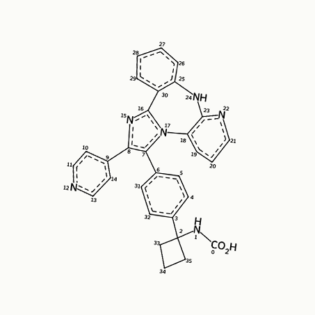 O=C(O)NC1(c2ccc(-c3c(-c4ccncc4)nc4n3-c3cccnc3Nc3ccccc3-4)cc2)CCC1